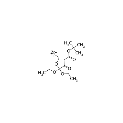 CCOC(OCC)(OCC)C(=O)CC(=O)OC(C)(C)C.[Zr]